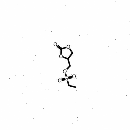 CCS(=O)(=O)OCC1COC(=O)O1